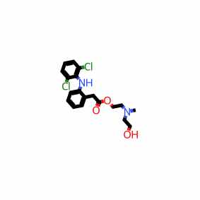 CN(CCO)CCOC(=O)Cc1ccccc1Nc1c(Cl)cccc1Cl